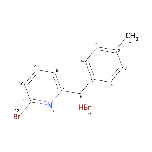 Br.Cc1ccc(Cc2cccc(Br)n2)cc1